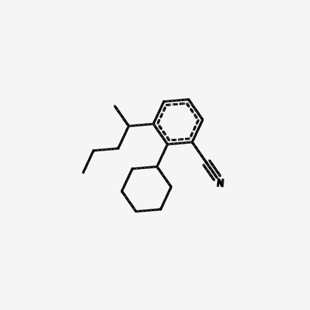 CCCC(C)c1cccc(C#N)c1C1CCCCC1